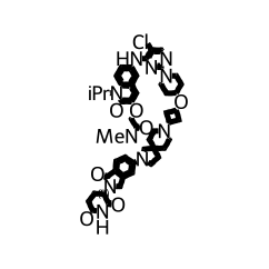 CNC(=O)COc1cc2cc(Nc3nc(N4CCC(OC5CC(N6CCC7(CCN(c8ccc9c(c8)CN([C@@H]8CCC(=O)NC8=O)C9=O)C7)CC6)C5)CC4)ncc3Cl)ccc2n(C(C)C)c1=O